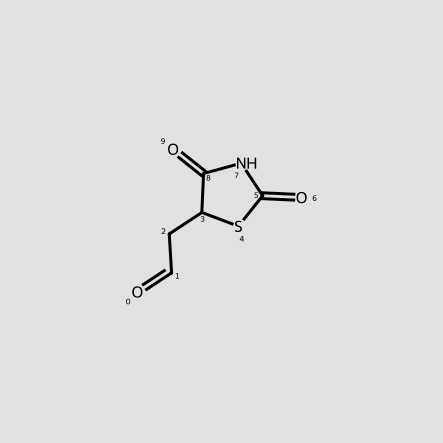 O=CCC1SC(=O)NC1=O